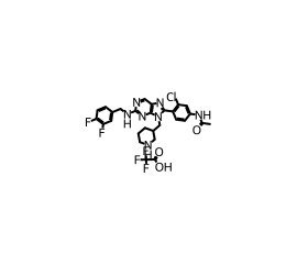 CC(=O)Nc1ccc(-c2nc3cnc(NCc4ccc(F)c(F)c4)nc3n2CC2CCCNC2)c(Cl)c1.O=C(O)C(F)(F)F